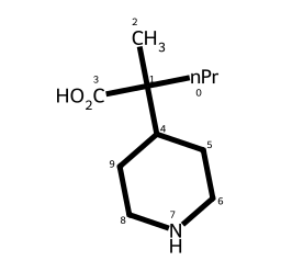 CCCC(C)(C(=O)O)C1CCNCC1